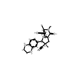 CN1C(=O)C23C[C@](C)(C#N)C(c4ccc5c(c4)OCCO5)N2C(=O)C1(C)SS3